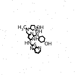 CN(Cc1cc(Nc2nc3cccnc3s2)nc(N[C@H]2CC[C@H](O)CC2)n1)C1CCS(O)(O)C1